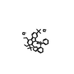 CCC1=CC(CC)(C(C)(C)C)C(C2=CC=CC2)=C2[C]([Zr+2]=[C](c3ccccc3)c3ccccc3)=c3cc(C(C)(C)C)ccc3=C12.[Cl-].[Cl-]